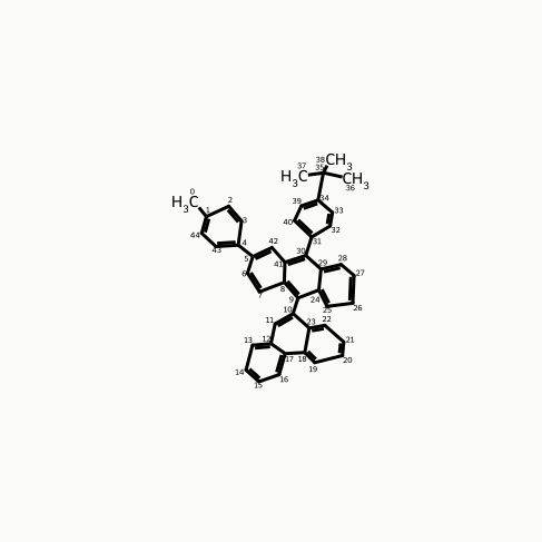 Cc1ccc(-c2ccc3c(-c4cc5ccccc5c5ccccc45)c4ccccc4c(-c4ccc(C(C)(C)C)cc4)c3c2)cc1